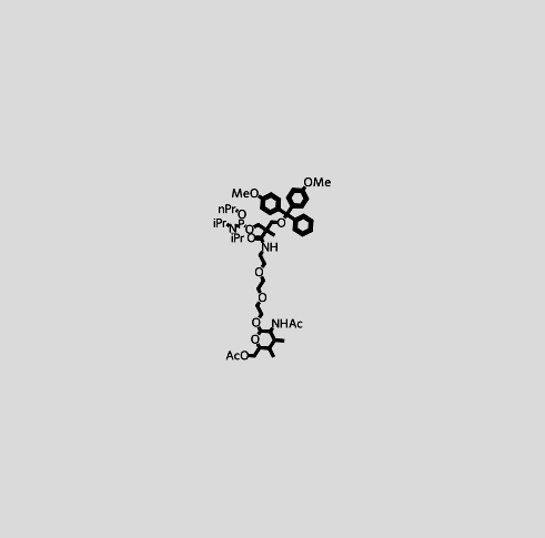 CCCOP(OCC(C)(COC(c1ccccc1)(c1ccc(OC)cc1)c1ccc(OC)cc1)C(=O)NCCOCCOCCOC1OC(COC(C)=O)C(C)C(C)C1NC(C)=O)N(C(C)C)C(C)C